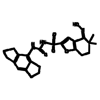 CC1(C)CCc2oc(S(=O)(=O)NC(=O)Nc3c4c(cc5c3CCC5)CCC4)cc2/C1=N\O